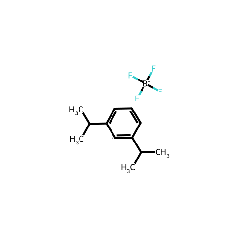 CC(C)c1[c]c(C(C)C)ccc1.F[B-](F)(F)F